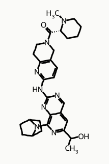 CC(O)c1cc2cnc(Nc3ccc4c(n3)CCN(C(=O)[C@H]3CCCCN3C)C4)nc2c(N2C3CCC2CC3)n1